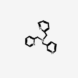 c1ccc(CN(Cc2cccnc2)Cc2ccccn2)nc1